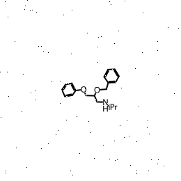 CC(C)NCC(COc1ccccc1)OCc1ccccc1